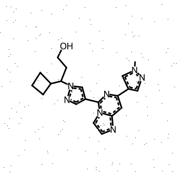 Cn1cc(-c2cc3nccn3c(-c3cnn(C(CCO)C4CCC4)c3)n2)cn1